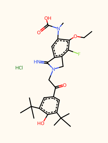 CCOc1c(N(C)C(=O)O)cc2c(c1F)CN(CC(=O)c1cc(C(C)(C)C)c(O)c(C(C)(C)C)c1)C2=N.Cl